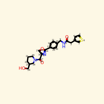 O=C(Cc1ccsc1)NCc1ccc(-c2nc(C(=O)N3CCCC(CO)C3)co2)cc1